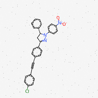 O=[N+]([O-])c1ccc(N2N=C(c3ccc(C#Cc4ccc(Cl)cc4)cc3)CC2c2ccccc2)cc1